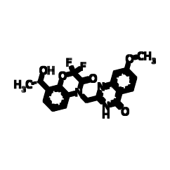 COc1ccc2c(=O)[nH]c(CN3C(=O)C(F)(F)Oc4c([C@H](C)O)cccc43)nc2c1